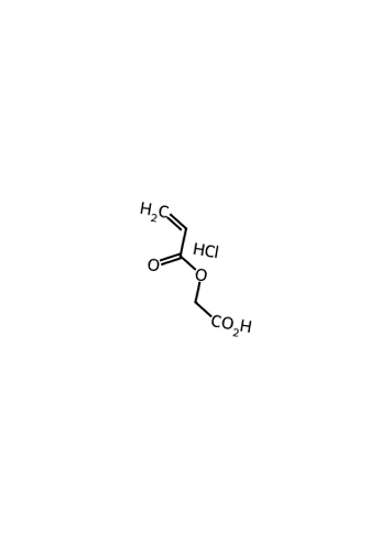 C=CC(=O)OCC(=O)O.Cl